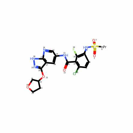 CCCS(=O)(=O)Nc1ccc(Cl)c(C(=O)Nc2cnc3[nH]nc(OC4CCOC4)c3c2)c1F